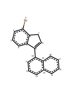 Brc1cccc2c1CC=C2c1cccc2ccccc12